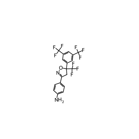 Nc1ccc(C2=NOC(c3cc(C(F)(F)F)cc(C(F)(F)F)c3)(C(F)(F)F)C2)cc1